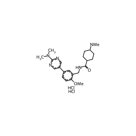 CNC1CCC(C(=O)NCc2cc(-c3cnc(N(C)C)nc3)ccc2OC)CC1.Cl.Cl